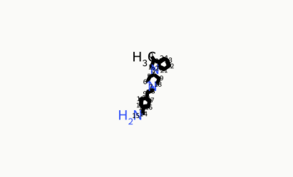 CC1CN(C2CCN(C=Cc3ccc(CN)cc3)CC2)c2ccccc21